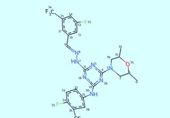 CC1CN(c2nc(N/N=C/c3cc(F)cc(C(F)(F)F)c3)nc(Nc3ccc(F)c(C(F)(F)F)c3)n2)CC(C)O1